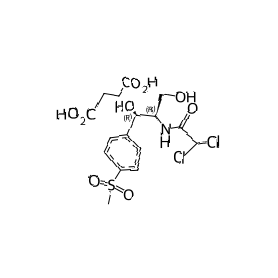 CS(=O)(=O)c1ccc([C@@H](O)[C@@H](CO)NC(=O)C(Cl)Cl)cc1.O=C(O)CCC(=O)O